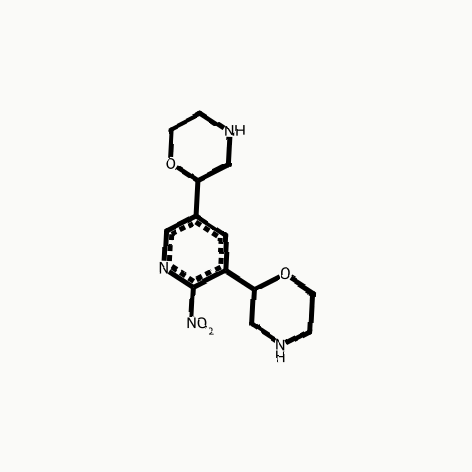 O=[N+]([O-])c1ncc(C2CNCCO2)cc1C1CNCCO1